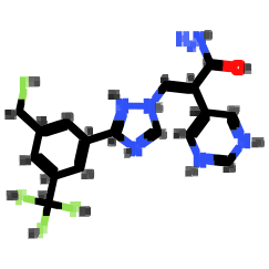 NC(=O)/C(=C/n1cnc(-c2cc(CF)cc(C(F)(F)F)c2)n1)c1cncnc1